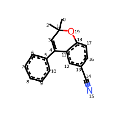 CC1(C)C=C(c2ccccc2)c2cc(C#N)ccc2O1